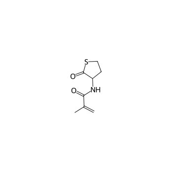 C=C(C)C(=O)NC1CCSC1=O